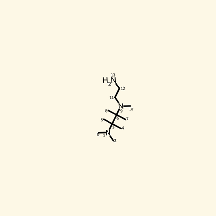 CN(C)C(C)(C)C(C)(C)N(C)CCN